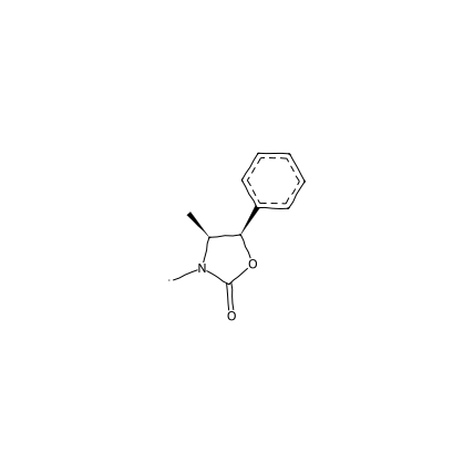 [CH2]N1C(=O)O[C@H](c2ccccc2)[C@@H]1C